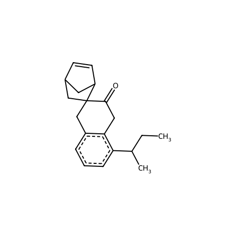 CCC(C)c1cccc2c1CC(=O)C1(C2)CC2C=CC1C2